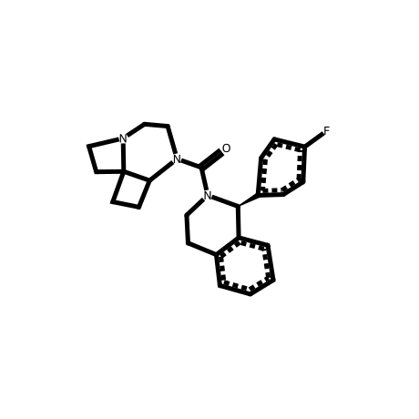 O=C(N1CCN2CCC23CCC13)N1CCc2ccccc2[C@@H]1c1ccc(F)cc1